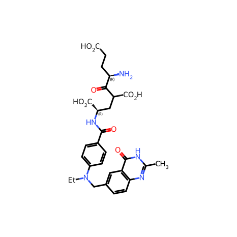 CCN(Cc1ccc2nc(C)[nH]c(=O)c2c1)c1ccc(C(=O)N[C@H](CC(C(=O)O)C(=O)[C@H](N)CCC(=O)O)C(=O)O)cc1